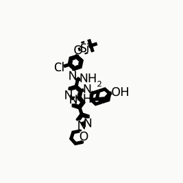 CC(C)(C)[Si](C)(C)Oc1ccc(/N=C(\N)c2cnn3cc(-c4cnn(C5CCCCO5)c4)cc3c2NC2C3CC4CC2CC(O)(C4)C3)c(Cl)c1